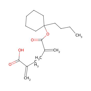 C=C(C)C(=O)O.C=C(C)C(=O)OC1(CCCC)CCCCC1